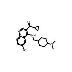 CN(C)C1CCC(CNc2c(C(=O)C3CC3)cnc3ccc(Br)cc23)CC1